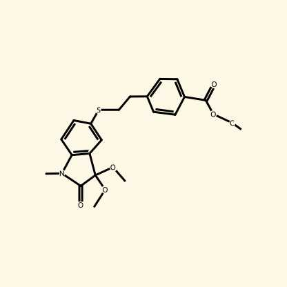 CCOC(=O)c1ccc(CCSc2ccc3c(c2)C(OC)(OC)C(=O)N3C)cc1